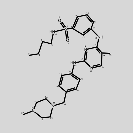 CCCCNS(=O)(=O)c1cccc(Nc2nc(Nc3ccc(CN4CCN(C)CC4)cc3)ncc2C)c1